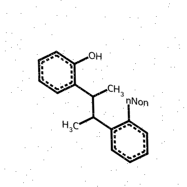 CCCCCCCCCc1ccccc1C(C)C(C)c1ccccc1O